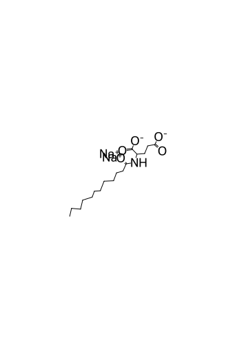 CCCCCCCCCCCC(=O)NC(CCC(=O)[O-])C(=O)[O-].[Na+].[Na+]